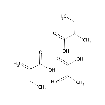 C=C(C)C(=O)O.C=C(CC)C(=O)O.CC=C(C)C(=O)O